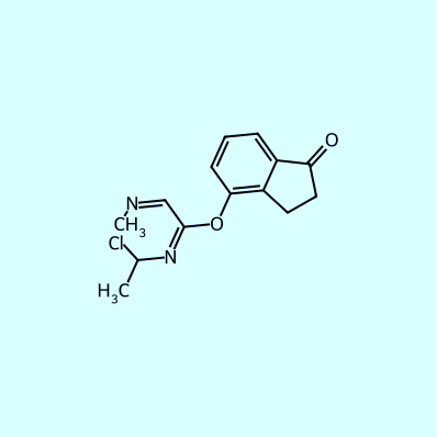 C/N=C\C(=N/C(C)Cl)Oc1cccc2c1CCC2=O